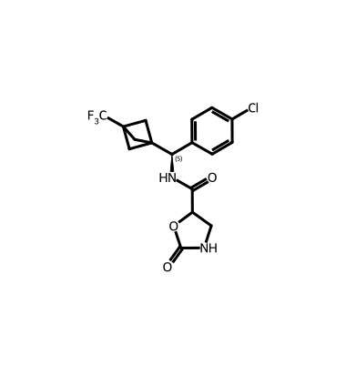 O=C1NCC(C(=O)N[C@H](c2ccc(Cl)cc2)C23CC(C(F)(F)F)(C2)C3)O1